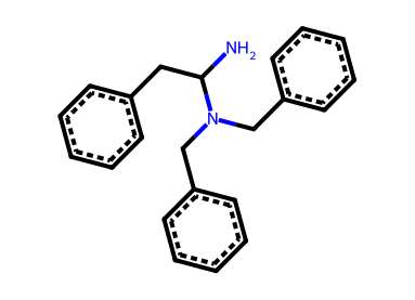 NC(Cc1ccccc1)N(Cc1ccccc1)Cc1ccccc1